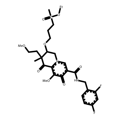 CCOP(C)(=O)CCCOC1Cn2cc(C(=O)NCc3ccc(F)cc3F)c(=O)c(OC)c2C(=O)C1(C)CCOC